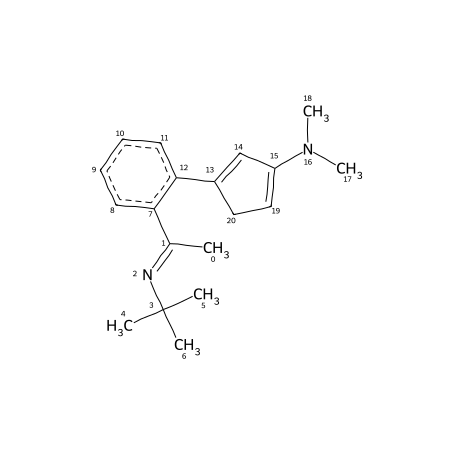 C/C(=N\C(C)(C)C)c1ccccc1C1=CC(N(C)C)=CC1